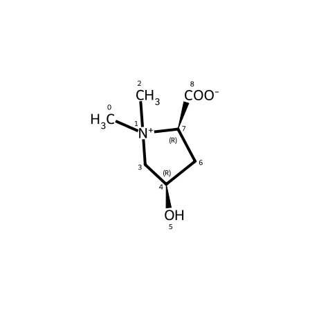 C[N+]1(C)C[C@H](O)C[C@@H]1C(=O)[O-]